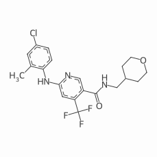 Cc1cc(Cl)ccc1Nc1cc(C(F)(F)F)c(C(=O)NCC2CCOCC2)cn1